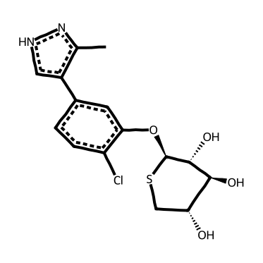 Cc1n[nH]cc1-c1ccc(Cl)c(O[C@@H]2SC[C@@H](O)[C@H](O)[C@H]2O)c1